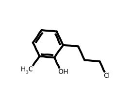 Cc1cccc(CCCCl)c1O